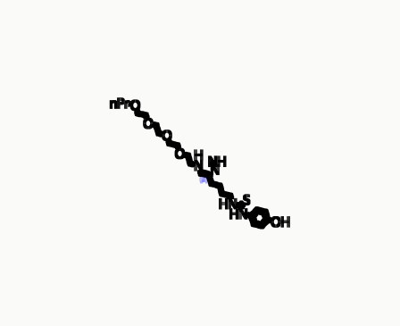 CCCOCCOCCOCCOCCN/C=C(/CCCCNC(=S)Nc1ccc(O)cc1)N=N